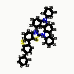 c1ccc(-c2ccc3c(c2)sc2ccc4nc(-n5c6ccccc6c6ccc7c(c8ccccc8n7-c7ccccc7)c65)sc4c23)cc1